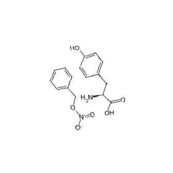 N[C@@H](Cc1ccc(O)cc1)C(=O)O.O=[N+]([O-])OCc1ccccc1